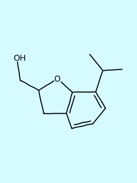 CC(C)c1cccc2c1OC(CO)C2